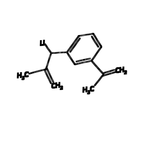 [Li][CH](C(=C)C)c1cccc(C(=C)C)c1